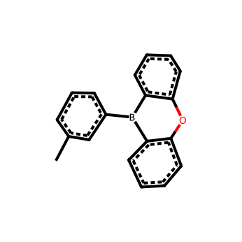 Cc1cccc(B2c3ccccc3Oc3ccccc32)c1